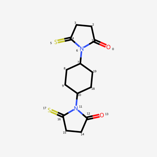 O=C1CCC(=S)N1C1CCC(N2C(=O)CCC2=S)CC1